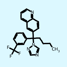 CCCCC(c1cccc(C(F)(F)F)c1)(c1ccc2ncccc2c1)n1cncn1